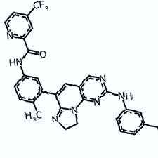 Cc1ccc(NC(=O)c2cc(C(F)(F)F)ccn2)cc1C1=Cc2cnc(Nc3cccc(CO)c3)nc2N2CCN=C12